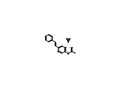 O=c1[nH]sc2c1c(=O)c1cc(F)c(C=Cc3ccc(C(F)(F)F)cc3)cc1n2C1CC1